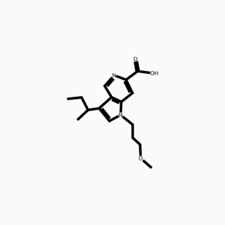 CCC(C)c1cn(CCCOC)c2cc(C(=O)O)ncc12